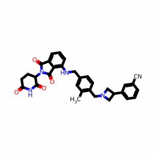 Cc1cc(CNc2cccc3c2C(=O)N(C2CCC(=O)NC2=O)C3=O)ccc1CN1CC(c2cccc(C#N)c2)C1